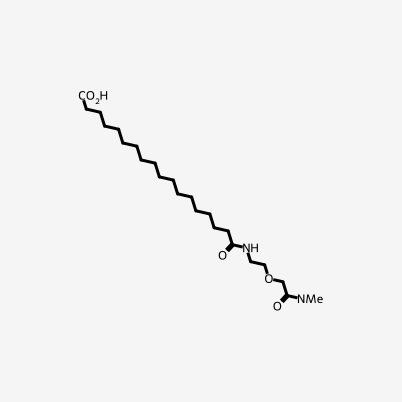 CNC(=O)COCCNC(=O)CCCCCCCCCCCCCCCCC(=O)O